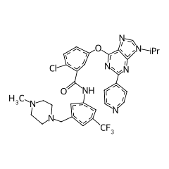 CC(C)n1cnc2c(Oc3ccc(Cl)c(C(=O)Nc4cc(CN5CCN(C)CC5)cc(C(F)(F)F)c4)c3)nc(-c3ccncc3)nc21